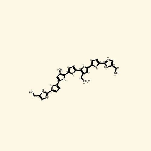 Cc1cc(-c2ccc(-c3ncc(CO)[nH]3)s2)sc1-c1ccc(-c2sc(-c3ccc(-c4ncc(CO)[nH]4)s3)cc2CC(=O)O)s1